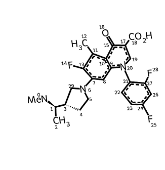 CN[C@H](C)[C@H]1CCN(c2cc3c(c(C)c2F)c(=O)c(C(=O)O)cn3-c2ccc(F)cc2F)C1